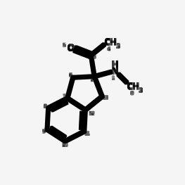 CNC1(C(C)=O)Cc2ccccc2C1